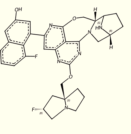 Oc1cc(-c2cc3nc(OC[C@@]45CCCN4C[C@H](F)C5)nc4c3c(n2)OC[C@@H]2C3CC[C@H](CN42)N3)c2c(F)cccc2c1